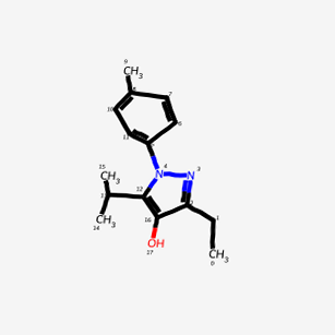 CCc1nn(-c2ccc(C)cc2)c(C(C)C)c1O